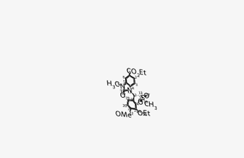 CCOC(=O)c1ccc2c(c1)n(C)c(=O)n2[C@H](CS(C)(=O)=O)c1ccc(OC)c(OCC)c1